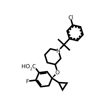 CC(C)(c1cccc(Cl)c1)N1CCCC(O[C@]2(C3CC3)C=C(C(=O)O)C(F)=CC2)C1